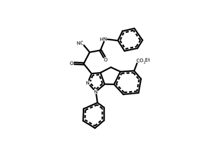 CCOC(=O)c1cccc2c1Cc1c(C(=O)C(C#N)C(=O)Nc3ccccc3)nn(-c3ccccc3)c1-2